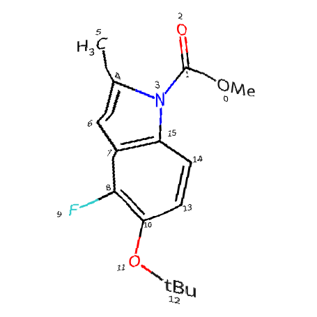 COC(=O)n1c(C)cc2c(F)c(OC(C)(C)C)ccc21